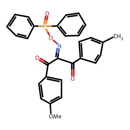 COc1ccc(C(=O)/C(=N\OP(=O)(c2ccccc2)c2ccccc2)C(=O)c2ccc(C)cc2)cc1